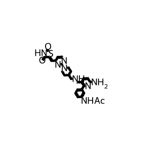 CC(=O)Nc1cccc(-c2nc(N)ccc2CNCC2CCN(c3nccc(/C=C4\SC(=O)NC4=O)n3)CC2)c1